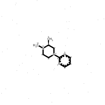 C[C@H]1CN(c2ncccn2)CCN1C